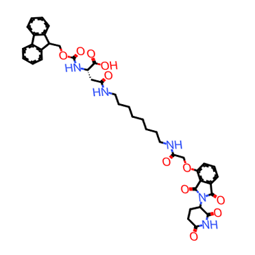 O=C(COc1cccc2c1C(=O)N(C1CCC(=O)NC1=O)C2=O)NCCCCCCCCNC(=O)C[C@H](NC(=O)OCC1c2ccccc2-c2ccccc21)C(=O)O